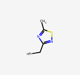 CCCCc1nsc(C)n1